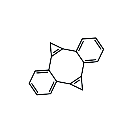 c1ccc2c(c1)C1=C(C1)c1ccccc1C1=C2C1